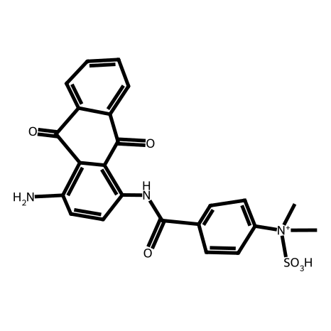 C[N+](C)(c1ccc(C(=O)Nc2ccc(N)c3c2C(=O)c2ccccc2C3=O)cc1)S(=O)(=O)O